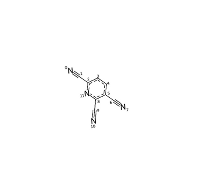 N#Cc1ccc(C#N)c(C#N)n1